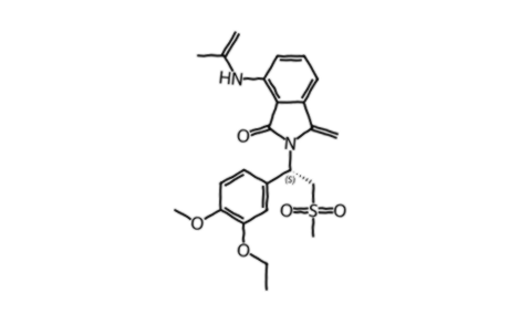 C=C(C)Nc1cccc2c1C(=O)N([C@H](CS(C)(=O)=O)c1ccc(OC)c(OCC)c1)C2=C